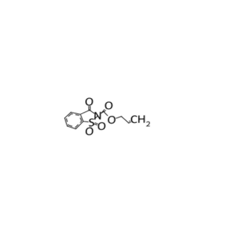 C=CCOC(=O)N1C(=O)c2ccccc2S1(=O)=O